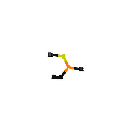 CCSP(CC)OC